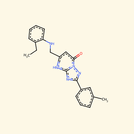 CCc1ccccc1NCc1cc(=O)n2nc(-c3cccc(C)c3)nc2[nH]1